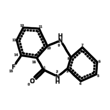 O=C1Nc2ccccc2Nc2cccc(F)c21